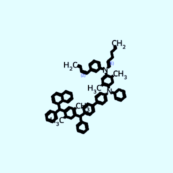 C=C/C=C\c1cccc(N(/C=C/CCC=C)C2=CC(C)=C(N(c3ccc(-c4ccc(C(C5=C(C)C=C(C(c6ccccc6)C6C=CC=C7C=CC=CC76)C(C)C5)c5ccccc5)cc4)cc3)C3C=CC=CC3)CC2C)c1